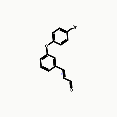 O=C/C=C/c1cccc(Oc2ccc(Br)cc2)c1